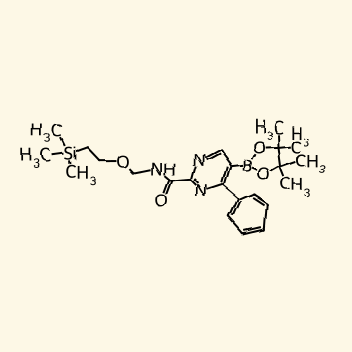 CC1(C)OB(c2cnc(C(=O)NCOCC[Si](C)(C)C)nc2-c2ccccc2)OC1(C)C